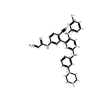 C=CC(=O)Nc1ccc(C#N)c(-c2nc(Nc3cccc(N4CCOCC4)c3)ncc2Nc2cccc(F)c2)c1